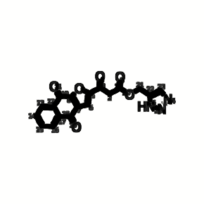 O=C(CC(=O)c1cc2c(o1)C(=O)c1ccccc1C2=O)OCc1cnn[nH]1